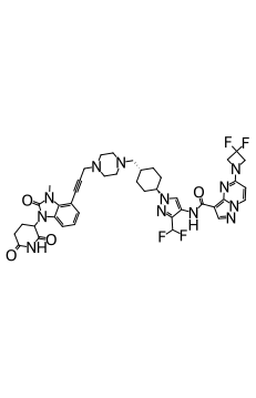 Cn1c(=O)n(C2CCC(=O)NC2=O)c2cccc(C#CCN3CCN(C[C@H]4CC[C@H](n5cc(NC(=O)c6cnn7ccc(N8CC(F)(F)C8)nc67)c(C(F)F)n5)CC4)CC3)c21